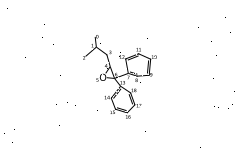 CC(C)CC1OC1(c1ccccc1)c1ccccc1